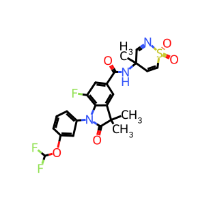 CC1(NC(=O)c2cc(F)c3c(c2)C(C)(C)C(=O)N3c2cccc(OC(F)F)c2)C=CS(=O)(=O)N=C1